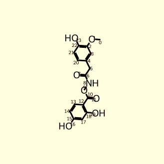 COc1cc(CC(=O)NOC(=O)c2ccc(O)cc2O)ccc1O